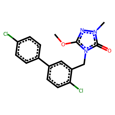 COc1nn(C)c(=O)n1Cc1cc(-c2ccc(Cl)cc2)ccc1Cl